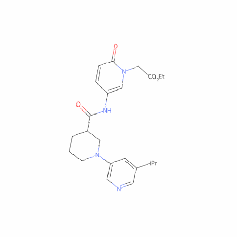 CCOC(=O)Cn1cc(NC(=O)C2CCCN(c3cncc(C(C)C)c3)C2)ccc1=O